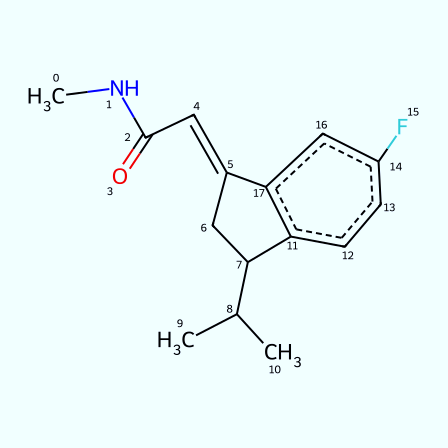 CNC(=O)C=C1CC(C(C)C)c2ccc(F)cc21